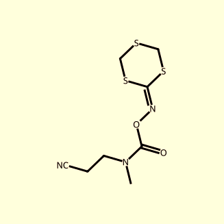 CN(CCC#N)C(=O)ON=C1SCSCS1